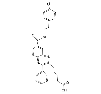 O=C(O)CCCCc1nc2cc(C(=O)NCCc3ccc(Cl)cc3)ccc2nc1-c1ccccc1